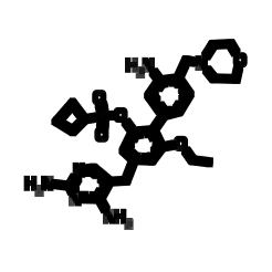 CCOc1cc(Cc2cnc(N)nc2N)cc(OS(=O)(=O)C2CCC2)c1-c1ccc(CN2CCOCC2)c(N)c1